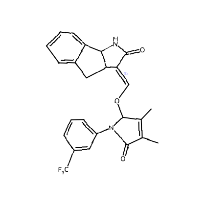 CC1=C(C)C(O/C=C2/C(=O)NC3c4ccccc4CC23)N(c2cccc(C(F)(F)F)c2)C1=O